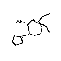 CCC1(CC)CC[C@@H](N2CCCC2)[C@H](O)C1